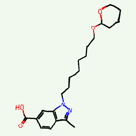 Cc1nn(CCCCCCCCOC2CCCCO2)c2cc(C(=O)O)ccc12